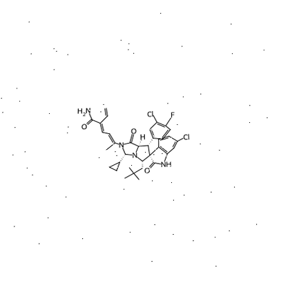 C=C/C(=C\C=C(/C)N1C(=O)[C@H]2[C@H](c3ccc(F)c(Cl)c3)[C@]3(C(=O)Nc4cc(Cl)ccc43)[C@H](CC(C)(C)C)N2[C@@H]1C1CC1)C(N)=O